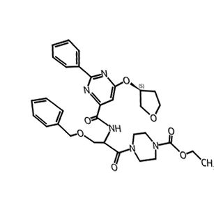 CCOC(=O)N1CCN(C(=O)C(COCc2ccccc2)NC(=O)c2cc(O[C@H]3CCOC3)nc(-c3ccccc3)n2)CC1